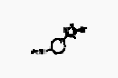 CC(=O)NC1CCCN(c2nnc(Br)s2)CC1